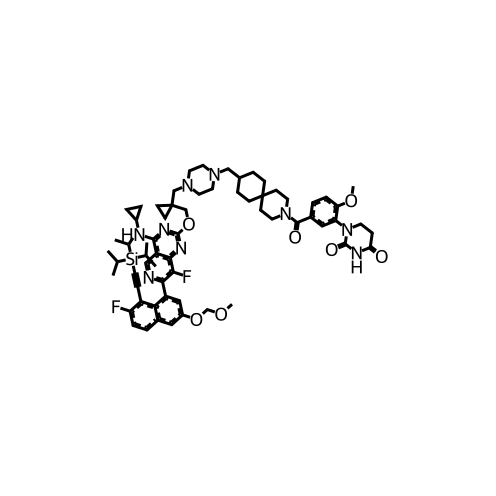 COCOc1cc(-c2ncc3c(NC4CC4)nc(OCC4(CN5CCN(CC6CCC7(CC6)CCN(C(=O)c6ccc(OC)c(N8CCC(=O)NC8=O)c6)CC7)CC5)CC4)nc3c2F)c2c(C#C[Si](C(C)C)(C(C)C)C(C)C)c(F)ccc2c1